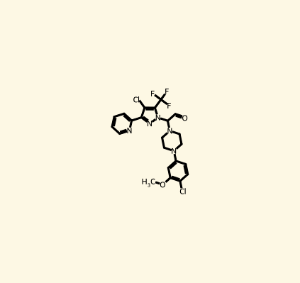 COc1cc(N2CCN(C(C=O)n3nc(-c4ccccn4)c(Cl)c3C(F)(F)F)CC2)ccc1Cl